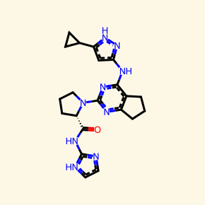 O=C(Nc1ncc[nH]1)[C@@H]1CCCN1c1nc2c(c(Nc3cc(C4CC4)[nH]n3)n1)CCC2